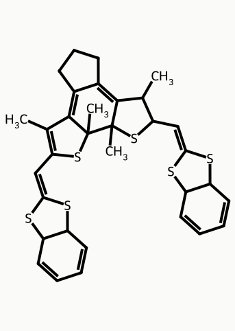 CC1=C(C=C2SC3C=CC=CC3S2)SC2(C)C1=C1CCCC1=C1C(C)C(C=C3SC4C=CC=CC4S3)SC12C